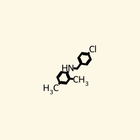 Cc1ccc(NCc2ccc(Cl)cc2)c(C)c1